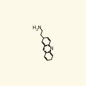 NCCC1C=Cc2nc3c(cc2=C1)C=CCC=3